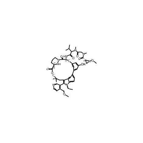 CCn1c(-c2cnccc2COC)c2c3cc(ccc31)-c1cc(O)cc(c1)C[C@H](NC(=O)C(C(C)C)N(C)C(=O)CN(C)C(=O)[C@H]1CN1OC)C(=O)N1CCC[C@H](N1)C(=O)OCC(C)(C)C2